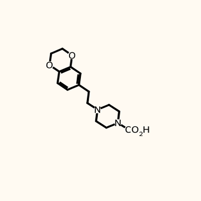 O=C(O)N1CCN(CCc2ccc3c(c2)OCCO3)CC1